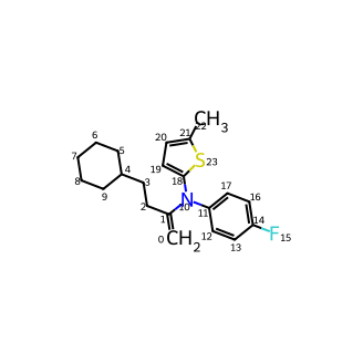 C=C(CCC1CCCCC1)N(c1ccc(F)cc1)c1ccc(C)s1